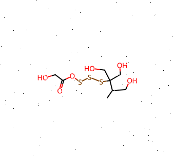 CC(CO)C(CO)(CO)SSSOC(=O)CO